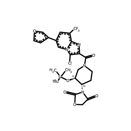 CC(C)(C)[Si](C)(C)O[C@H]1CN(C(=O)c2nc3c(C(F)(F)F)cc(-c4ccoc4)cn3c2Cl)CC[C@@H]1N1C(=O)COC1=O